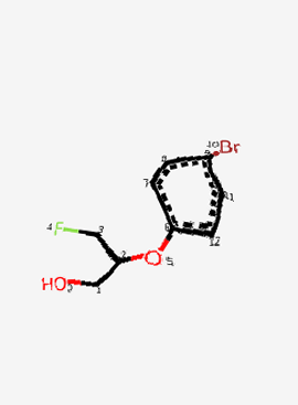 OCC(CF)Oc1ccc(Br)cc1